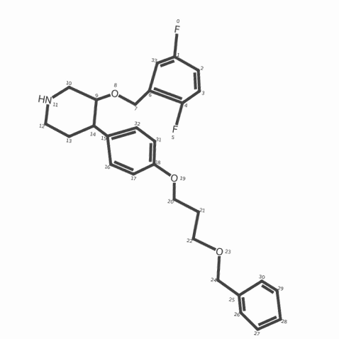 Fc1ccc(F)c(COC2CNCCC2c2ccc(OCCCOCc3ccccc3)cc2)c1